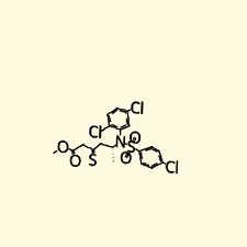 COC(=O)CC(=S)C[C@@H](C)N(c1cc(Cl)ccc1Cl)S(=O)(=O)c1ccc(Cl)cc1